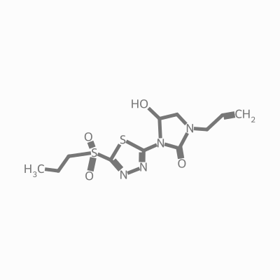 C=CCN1CC(O)N(c2nnc(S(=O)(=O)CCC)s2)C1=O